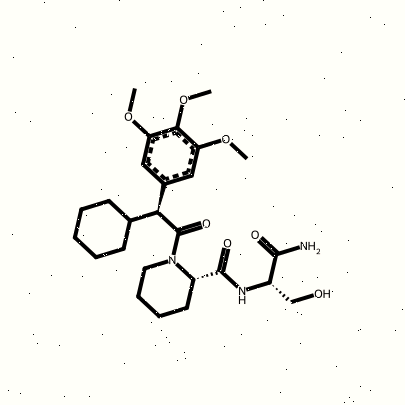 COc1cc([C@@H](C(=O)N2CCCC[C@H]2C(=O)N[C@@H](CO)C(N)=O)C2CCCCC2)cc(OC)c1OC